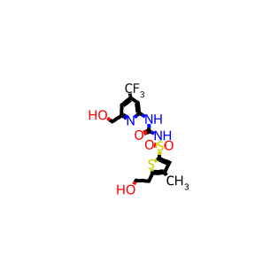 Cc1cc(S(=O)(=O)NC(=O)Nc2cc(C(F)(F)F)cc(CO)n2)sc1CCO